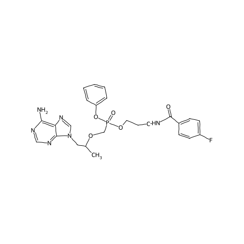 CC(Cn1cnc2c(N)ncnc21)OCP(=O)(OCCCNC(=O)c1ccc(F)cc1)Oc1ccccc1